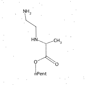 CCCCCOC(=O)C(C)NCCN